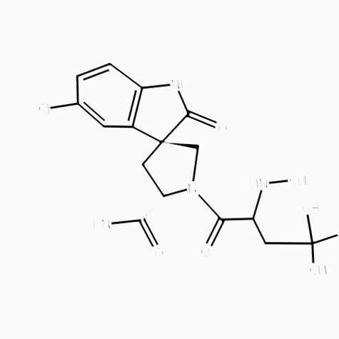 CNC(CC(C)(C)F)C(=O)N1C[C@]2(C[C@H]1C(N)=O)C(=O)Nc1ccc(Cl)cc12